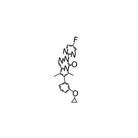 Cc1c(-c2cccc(OC3CC3)c2)c(C)n2c(=O)n(-c3ncc(F)cn3)ncc12